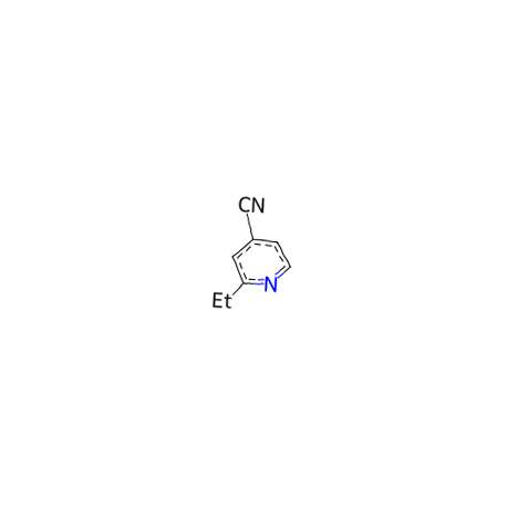 CCc1cc(C#N)ccn1